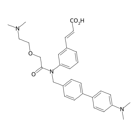 CN(C)CCOCC(=O)N(Cc1ccc(-c2ccc(N(C)C)cc2)cc1)c1cccc(C=CC(=O)O)c1